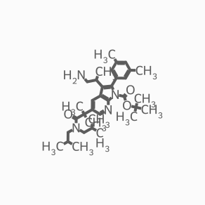 Cc1cc(C)cc(-c2c(C(C)CN)c3cc(C(C)(C)C(=O)N(CC(C)C)CC(C)C)cnc3n2C(=O)OC(C)(C)C)c1